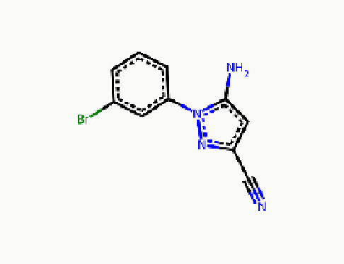 N#Cc1cc(N)n(-c2cccc(Br)c2)n1